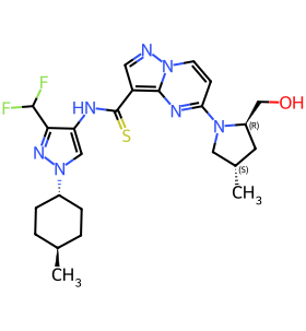 C[C@H]1C[C@H](CO)N(c2ccn3ncc(C(=S)Nc4cn([C@H]5CC[C@H](C)CC5)nc4C(F)F)c3n2)C1